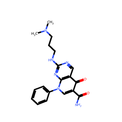 CN(C)CCCNc1ncc2c(=O)c(C(N)=O)cn(-c3ccccc3)c2n1